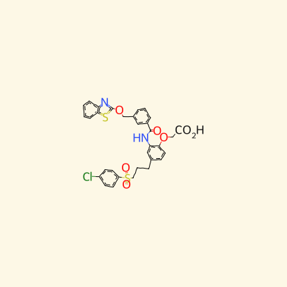 O=C(O)COc1ccc(CCCS(=O)(=O)c2ccc(Cl)cc2)cc1NC(=O)c1cccc(COc2nc3ccccc3s2)c1